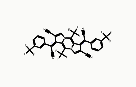 N#C/C(c1cccc(C(F)(F)F)c1)=c1/c(C#N)cn2c(C(F)(F)F)c3/c(=C(\C#N)c4cccc(C(F)(F)F)c4)c(C#N)cn3c(C(F)(F)F)c12